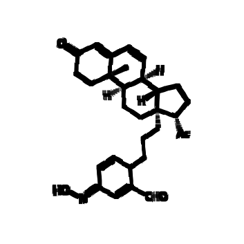 CC(=O)[C@H]1CC[C@H]2[C@@H]3C=CC4=CC(=O)CC[C@@]4(C)[C@@H]3CC[C@]12CCCC1C=C/C(=N\O)C=C1C=O